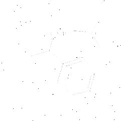 Cc1ccc(C(C=S)C(=O)[O-])cc1.[CH3][Sn+]([CH3])[CH3]